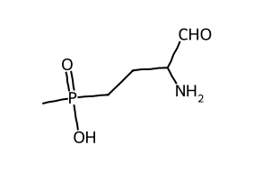 CP(=O)(O)CCC(N)C=O